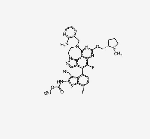 CN1CCC[C@H]1COc1nc2c3c(n1)c(F)c(-c1ccc(F)c4sc(NC(=O)OC(C)(C)C)c(C#N)c14)c1cnn(c13)CCN2Cc1cccnc1N